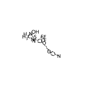 C[C@](N)(CO)c1nnc(-c2ccc(OCCCCOc3ccc(C#N)cc3)c(C(F)(F)F)c2)s1